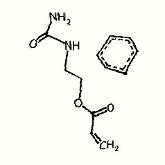 C=CC(=O)OCCNC(N)=O.c1ccccc1